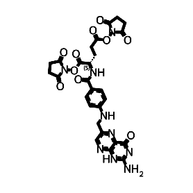 Nc1nc(=O)c2nc(CNc3ccc(C(=O)N[C@@H](CCC(=O)ON4C(=O)CCC4=O)C(=O)ON4C(=O)CCC4=O)cc3)cnc2[nH]1